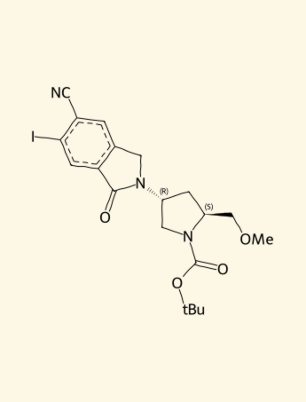 COC[C@@H]1C[C@@H](N2Cc3cc(C#N)c(I)cc3C2=O)CN1C(=O)OC(C)(C)C